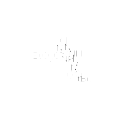 CCOC(=O)c1nc(Cl)nc(NC2CCN(C(=O)OC(C)(C)C)CC2)c1N